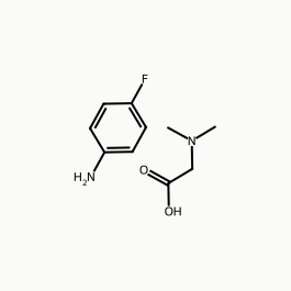 CN(C)CC(=O)O.Nc1ccc(F)cc1